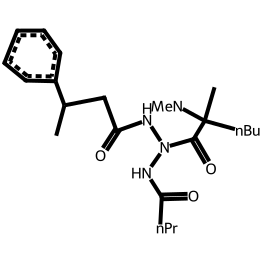 CCCCC(C)(NC)C(=O)N(NC(=O)CCC)NC(=O)CC(C)c1ccccc1